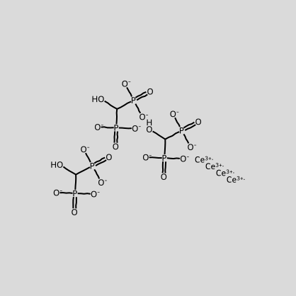 O=P([O-])([O-])C(O)P(=O)([O-])[O-].O=P([O-])([O-])C(O)P(=O)([O-])[O-].O=P([O-])([O-])C(O)P(=O)([O-])[O-].[Ce+3].[Ce+3].[Ce+3].[Ce+3]